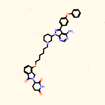 Nc1ncnc2c1c(-c1ccc(Oc3ccccc3)cc1)nn2C1CCCN(CCCCCCSc2cccc3c2CN(C2CCC(=O)NC2=O)C3=O)C1